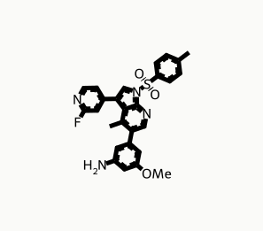 COc1cc(N)cc(-c2cnc3c(c(-c4ccnc(F)c4)cn3S(=O)(=O)c3ccc(C)cc3)c2C)c1